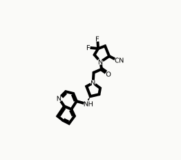 N#CC1CC(F)(F)CN1C(=O)CN1CC[C@H](Nc2ccnc3ccccc23)C1